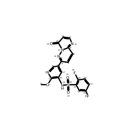 COc1ncc(-c2ccc3nccc(=O)n3n2)cc1NS(=O)(=O)c1cc(F)ccc1F